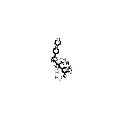 COc1cc(-c2[nH]nc(-c3ncc(C4CCN(C5CCOCC5)CC4)s3)c2C(C)C)cn2ncnc12